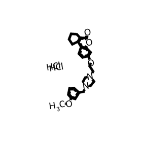 COc1cccc(CN2CCN(CCOc3ccc4c5c(c(=O)oc4c3)CCCC5)CC2)c1.Cl.Cl